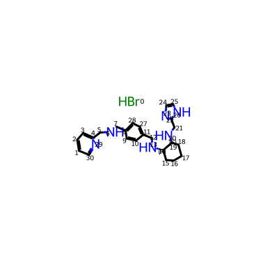 Br.c1ccc(CNCc2ccc(CN[C@@H]3CCCC[C@@H]3NCc3ncc[nH]3)cc2)nc1